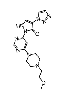 COCCN1CCN(c2cc(-n3[nH]cc(-n4ccnn4)c3=O)ncn2)CC1